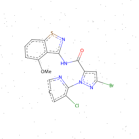 COc1cccc2snc(NC(=O)c3cc(Br)nn3-c3ncccc3Cl)c12